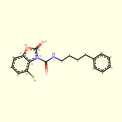 O=C(NCCCCc1ccccc1)n1c(=O)oc2cccc(F)c21